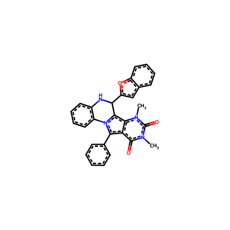 Cn1c(=O)c2c(-c3ccccc3)n3c(c2n(C)c1=O)C(c1cc2ccccc2o1)Nc1ccccc1-3